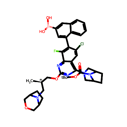 C[C@@H](COc1nc(N2CC3CCC(C2)N3C(=O)OC(C)(C)C)c2cc(Cl)c(-c3cc(B(O)O)cc4ccccc34)c(F)c2n1)CN1C2CCC1COC2